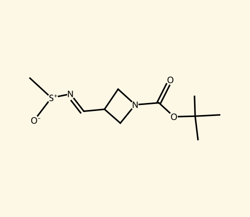 C[S+]([O-])N=CC1CN(C(=O)OC(C)(C)C)C1